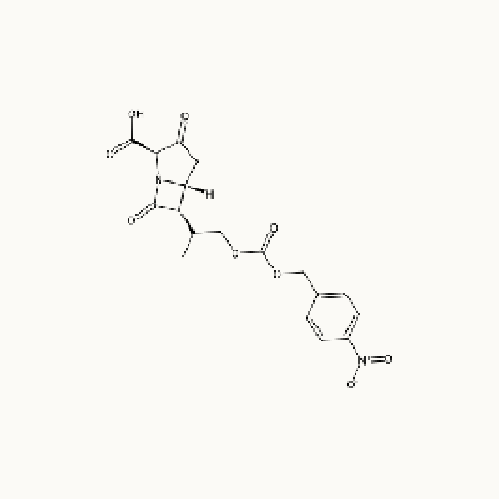 CC(COC(=O)OCc1ccc([N+](=O)[O-])cc1)[C@H]1C(=O)N2[C@@H](C(=O)O)C(=O)C[C@H]12